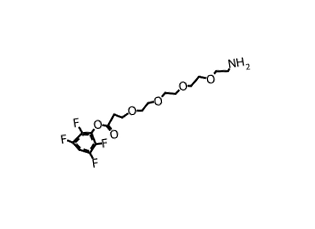 NCCOCCOCCOCCOCCC(=O)Oc1c(F)c(F)cc(F)c1F